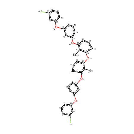 CCc1c(Oc2cccc(Oc3cccc(F)c3)c2)cccc1Oc1cccc(Oc2cccc(Oc3cccc(F)c3)c2)c1CC